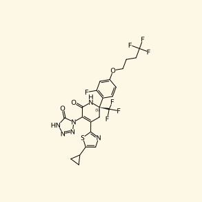 O=C1N[C@@](c2ccc(OCCCC(F)(F)F)cc2F)(C(F)(F)F)CC(c2ncc(C3CC3)s2)=C1n1nn[nH]c1=O